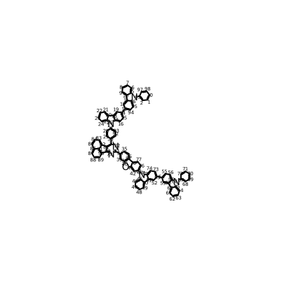 c1ccc(-n2c3ccccc3c3cc(-c4ccc5c(c4)c4ccccc4n5-c4ccc(-c5nc(-c6ccc7c(c6)oc6cc(-n8c9ccccc9c9cc(-c%10ccc%11c(c%10)c%10ccccc%10n%11-c%10ccccc%10)ccc98)ccc67)nc6c5-c5cccc7cccc-6c57)cc4)ccc32)cc1